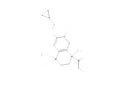 CC(C)C1(C(=O)CF)CCC(C)(C)c2cc(OCC3CC3)c(Br)cc21